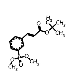 COP(=O)(OC)c1cccc(/C=C/C(=O)OC(C)(C)C)c1